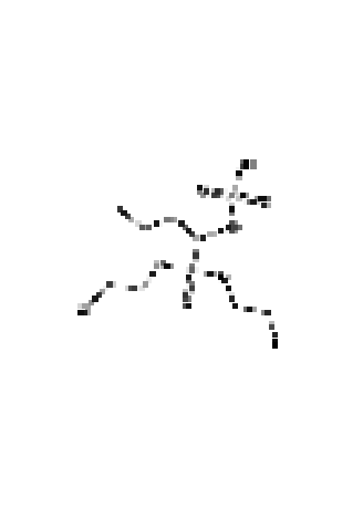 CCCC(NS(=O)(=O)O)P(=O)(OCCCl)OCCCl